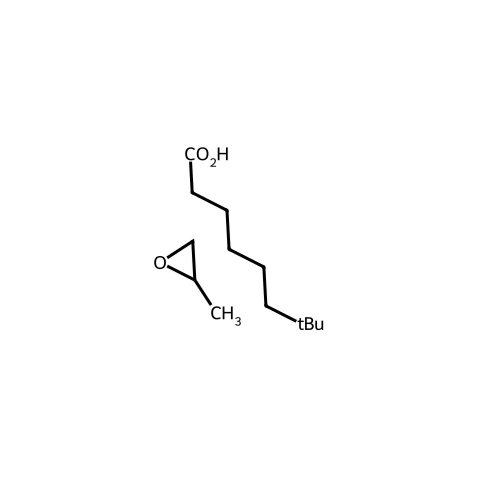 CC(C)(C)CCCCCC(=O)O.CC1CO1